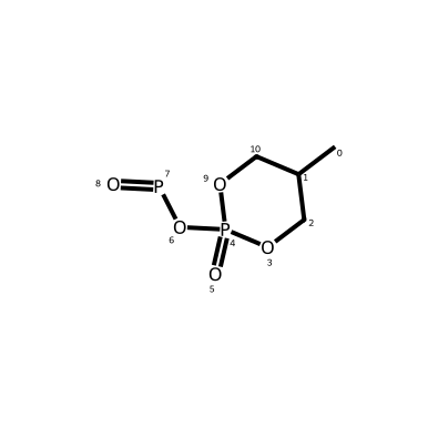 CC1COP(=O)(OP=O)OC1